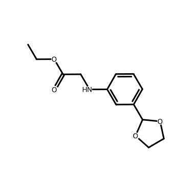 CCOC(=O)CNc1cccc(C2OCCO2)c1